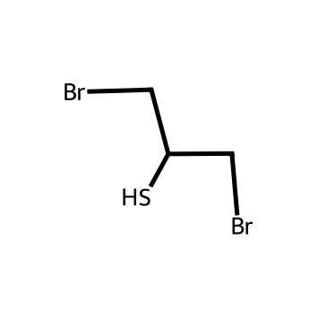 SC(CBr)CBr